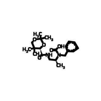 C[C@H](CNC(=O)[C@H]1OC(C)(C)OCC1(C)C)N(Cc1ccccc1)C(=O)O